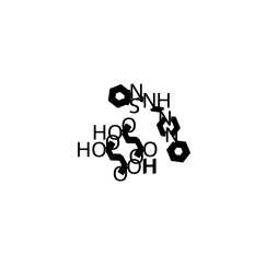 O=C(O)C=CC(=O)O.O=C(O)C=CC(=O)O.c1ccc(N2CCN(CCNc3nc4ccccc4s3)CC2)cc1